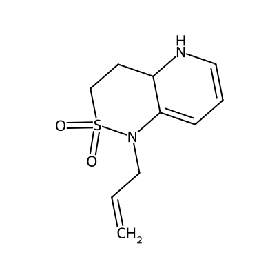 C=CCN1C2=CC=CNC2CCS1(=O)=O